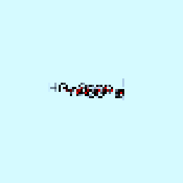 O=C(Oc1ccc(OC(=O)c2ccc(OC(=O)c3ccc(OCCCCCCOPI)cc3)cc2)cc1)c1ccc(OCCCCCCO)cc1